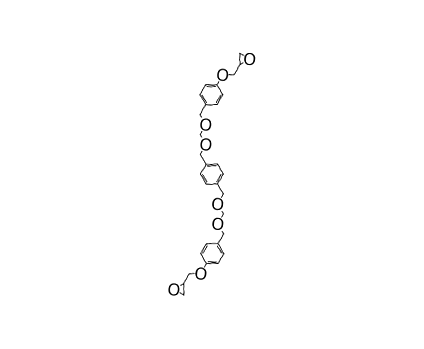 c1cc(COCOCc2ccc(OCC3CO3)cc2)ccc1COCOCc1ccc(OCC2CO2)cc1